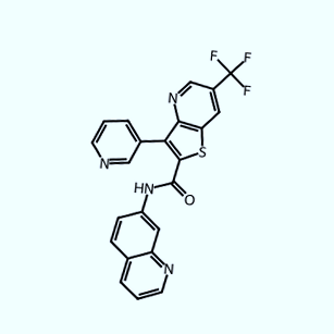 O=C(Nc1ccc2cccnc2c1)c1sc2cc(C(F)(F)F)cnc2c1-c1cccnc1